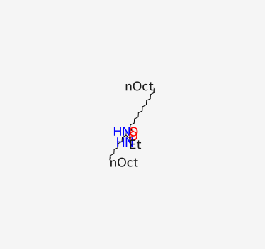 CCCCCCCC/C=C\CCCCCCCCCCCC(=O)NC(CCCCCC/C=C\CCCCCCCC)C(=O)NCC